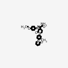 CCOc1ccc(-n2nc(C(N)=O)c3c2C(=O)N(c2ccc(-n4ccccc4=O)c(C)c2)CC3)cc1